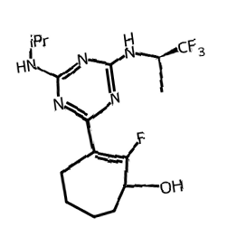 CC(C)Nc1nc(N[C@H](C)C(F)(F)F)nc(C2=C(F)C(O)CCCC2)n1